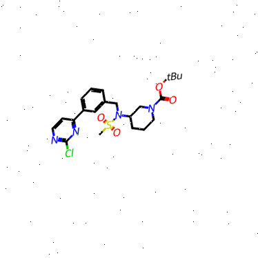 CC(C)(C)OC(=O)N1CCCC(N(Cc2cccc(-c3ccnc(Cl)n3)c2)S(C)(=O)=O)C1